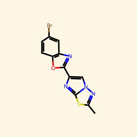 Cc1nn2cc(-c3nc4cc(Br)ccc4o3)nc2s1